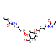 C=CC(=O)NCCCCOc1ccc(C=O)c(OCCCCNC(=O)C=C)c1